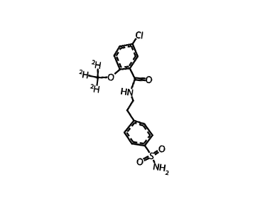 [2H]C([2H])([2H])Oc1ccc(Cl)cc1C(=O)NCCc1ccc(S(N)(=O)=O)cc1